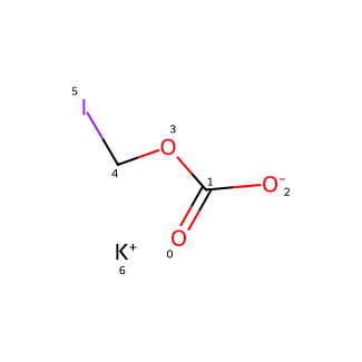 O=C([O-])OCI.[K+]